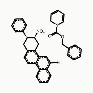 CCc1cc2c3c(ccc2c2ccccc12)C[C@@H](c1ccccc1)[C@@H]([N+](=O)[O-])C3.O=C(OCc1ccccc1)N1C=CC=CC1